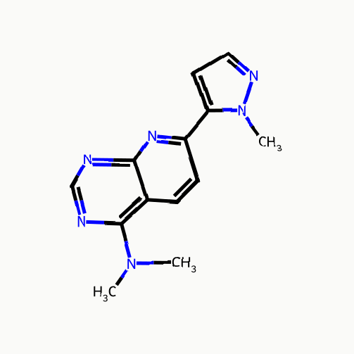 CN(C)c1ncnc2nc(-c3ccnn3C)ccc12